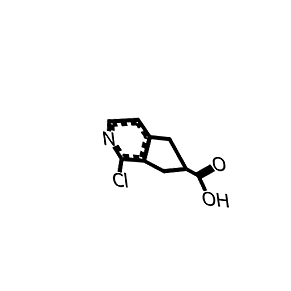 O=C(O)C1Cc2ccnc(Cl)c2C1